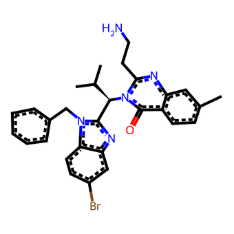 Cc1ccc2c(=O)n([C@@H](c3nc4cc(Br)ccc4n3Cc3ccccc3)C(C)C)c(CCN)nc2c1